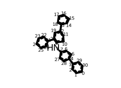 c1ccc(-c2ccc(Nc3ccc(-c4ccccc4)cc3-c3ccccc3)cc2)cc1